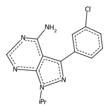 CC(C)n1nc(-c2cccc(Cl)c2)c2c(N)ncnc21